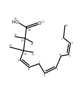 CC/C=C\C/C=C\C/C=C\C(C)(C)C(C)(C)C(=O)O